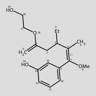 C=C(CC(CC)/C(C)=C(/OC)c1cccc(O)c1)OCCO